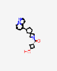 O=C([C@H]1C[C@@H](O)C1)N1CC2(CCC(c3cccn4nccc34)C2)C1